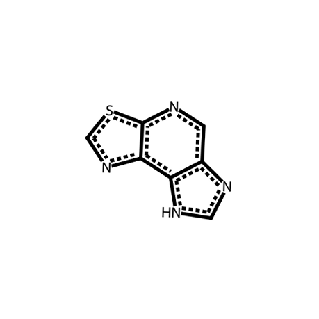 c1nc2cnc3scnc3c2[nH]1